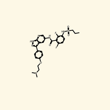 CCCS(=O)(=O)Nc1ccc(F)c(C(=O)Nc2cnc3[nH]nc(-c4ccc(OCCN(C)C)cc4)c3c2)c1F